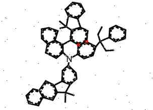 CCC(CC)(c1ccccc1)c1ccc(N(c2ccc3c(c2)-c2cc4ccccc4cc2C3(C)C)c2ccc3ccccc3c2-c2cccc3c2C(C)(C)c2ccccc2-3)cc1